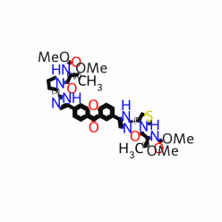 COC(=O)NC(C(=O)N1CSC[C@H]1c1ncc(-c2ccc3oc4cc(-c5cnc([C@@H]6CCCN6C(=O)[C@@H](NC(=O)OC)[C@@H](C)OC)[nH]5)ccc4c(=O)c3c2)[nH]1)[C@@H](C)OC